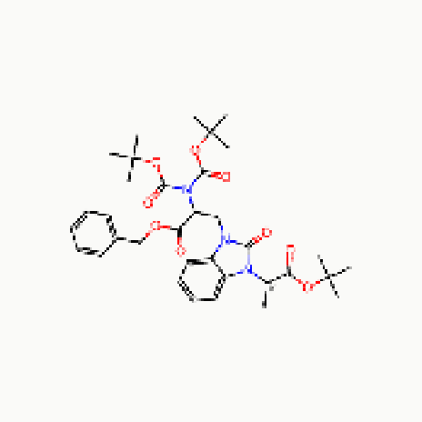 C[C@H](C(=O)OC(C)(C)C)n1c(=O)n(CC(C(=O)OCc2ccccc2)N(C(=O)OC(C)(C)C)C(=O)OC(C)(C)C)c2ccccc21